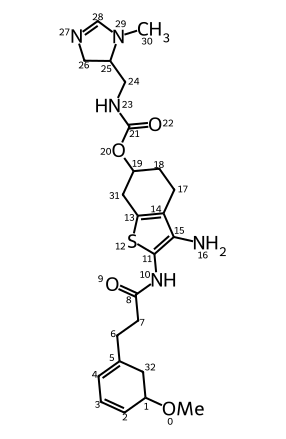 COC1C=CC=C(CCC(=O)Nc2sc3c(c2N)CCC(OC(=O)NCC2CN=CN2C)C3)C1